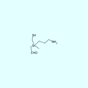 [CH3][Sn]([CH2]S)([CH2]C=O)[CH2]CCN